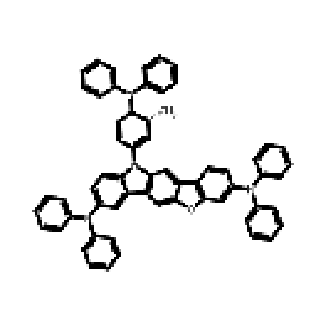 C[C@@H]1C=C(n2c3ccc(N(c4ccccc4)c4ccccc4)cc3c3cc4oc5cc(N(c6ccccc6)c6ccccc6)ccc5c4cc32)C=CC1N(c1ccccc1)c1ccccc1